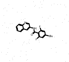 CC(C)(C)c1cc(F)c(C(=O)Nc2cnc3ccccc3c2)c(F)c1